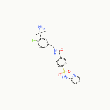 CC(C)(N)c1cc(CNC(=O)c2ccc(S(=O)(=O)Nc3ccccn3)cc2)ccc1F